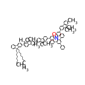 CCCCCCCCC1(CCCCCCCC)c2ccccc2-c2ccc(-c3ccc4c(c3)C(C)(C)c3cc(-c5ccc6c(c5)C(C)(C)c5cc(-c7ccc8c(c7)Oc7cc(-c9ccc%10c(c9)C(C)(C)c9cc(C)ccc9-%10)ccc7N8c7c(-c8ccccc8)cc(-c8ccccc8)cc7-c7ccccc7)ccc5-6)ccc3-4)cc21